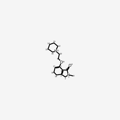 CN1CC2=C(C1=O)C(OCCN1CCCCC1)=CCC2